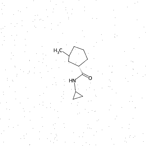 CC1CCC[C@H](C(=O)NC2CC2)C1